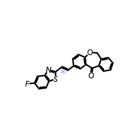 O=C1c2ccccc2COc2ccc(/C=C/c3nc4cc(F)ccc4s3)cc21